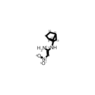 NC(=C[N+](=O)[O-])NC1=C2CCC(C2)C1